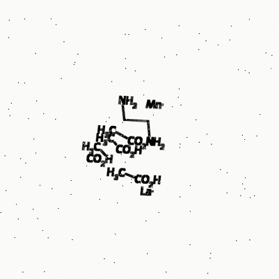 CC(=O)O.CC(=O)O.CC(=O)O.CC(=O)O.NCCN.[La].[Mn]